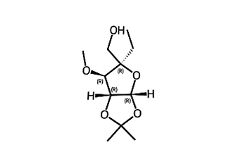 CC[C@]1(CO)O[C@@H]2OC(C)(C)O[C@@H]2[C@H]1OC